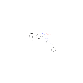 CCc1cc(O)c(F)cc1-c1ccc2c(-c3nc4c([nH]3)CCN(Cc3cccc(OC)c3)C4)n[nH]c2c1.O=CO